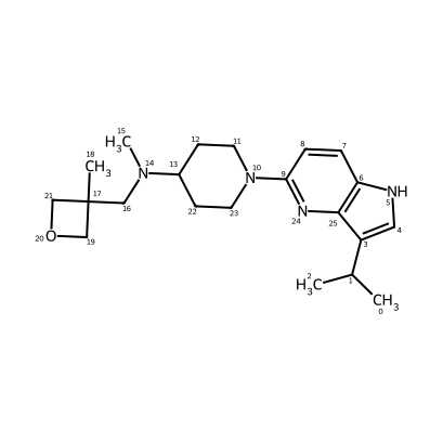 CC(C)c1c[nH]c2ccc(N3CCC(N(C)CC4(C)COC4)CC3)nc12